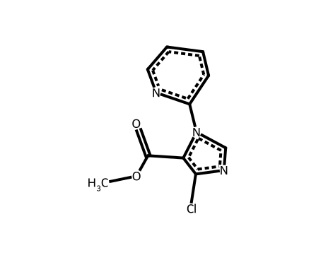 COC(=O)c1c(Cl)ncn1-c1ccccn1